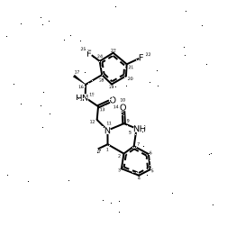 CC1c2ccccc2NC(=O)N1CC(=O)N[C@@H](C)c1ccc(F)cc1F